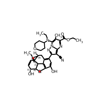 CCOC(=O)c1nc2c(C#N)c(-c3cc(O)c4c5c3C[C@@H]3[C@@H]6C=C[C@H](O)[C@H](O4)[C@]56CCN3C)nn2c(N(CC)C2CCOCC2)c1C